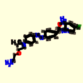 CN(CCOCCN)c1ccc(/N=N/c2ccc(C(=O)Nc3ccc(F)cc3N)cc2)cc1